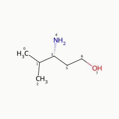 CC(C)[C@H](N)CCO